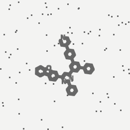 c1ccc(-c2cc(-c3ccc(-c4ccncc4)cc3)cc(-c3cc(-c4ccc5c(c4)oc4ccccc45)nc(-c4ccccc4)n3)c2)cc1